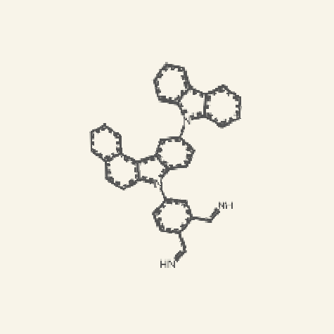 N=Cc1ccc(-n2c3ccc(-n4c5ccccc5c5ccccc54)cc3c3c4ccccc4ccc32)cc1C=N